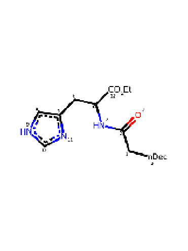 CCCCCCCCCCCC(=O)NC(Cc1c[nH]cn1)C(=O)OCC